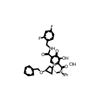 CC(C)N1C[C@]2(C[C@H](OCc3ccccc3)C2)n2cc(C(=O)NCc3ccc(F)cc3F)c(=O)c(O)c2C1=O.Cl